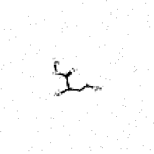 CC(=O)C(CCC(C)(C)C)C(=O)OC(C)C